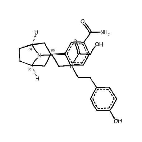 NC(=O)c1cccc([C@H]2C[C@H]3CC[C@@H](C2)N3CCN(CCc2ccc(O)cc2)C(=O)CO)c1